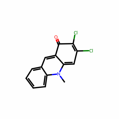 Cn1c2cc(Cl)c(Cl)c(=O)c-2cc2ccccc21